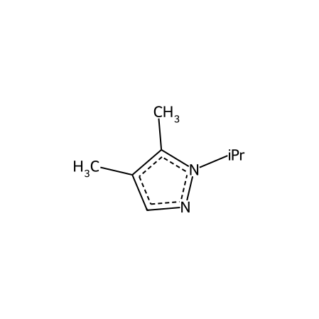 Cc1cnn(C(C)C)c1C